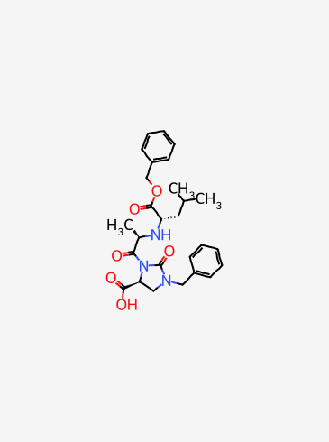 CC(C)C[C@H](N[C@H](C)C(=O)N1C(=O)N(Cc2ccccc2)C[C@H]1C(=O)O)C(=O)OCc1ccccc1